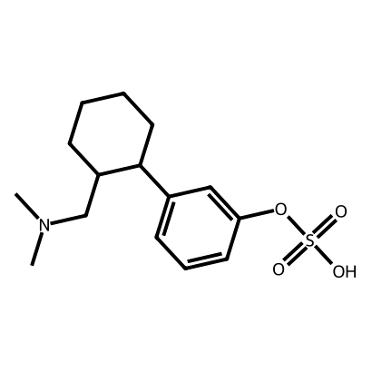 CN(C)CC1CCCCC1c1cccc(OS(=O)(=O)O)c1